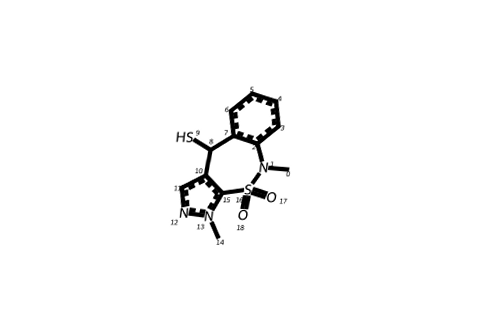 CN1c2ccccc2C(S)c2cnn(C)c2S1(=O)=O